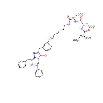 CC(=O)N[C@@H](CC(=O)O)C(=O)N[C@@H](CC(=O)O)C(=O)N[C@@H](CC(=O)O)C(=O)NCCCCCCOc1cccc(Cc2nc3c(Cc4ccccc4)[nH]c(-c4ccccc4)cn-3c2=O)c1